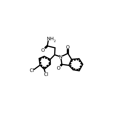 NC(=O)CC(c1ccc(Cl)c(Cl)c1)N1C(=O)c2ccccc2C1=O